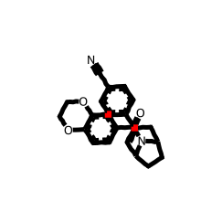 N#Cc1ccc(C2=CC3CCC(C2)N3C(=O)c2ccc3c(c2)OCCO3)cc1